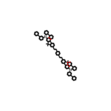 CC1(C)c2cc(/C=C/c3ccc(/C=C/c4ccc5c(c4)C(C)(C)c4cc(N(c6cccc(-c7ccccc7)c6)c6ccccc6-c6ccccc6)ccc4-5)cc3)ccc2-c2ccc(N(c3cccc(-c4ccccc4)c3)c3ccccc3-c3ccccc3)cc21